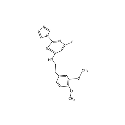 COc1ccc(CCNc2cc(F)nc(-n3ccnc3)n2)cc1OC